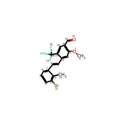 COc1cc(/C=C/c2cccc(Br)c2C)c(C(F)(F)F)cc1C=O